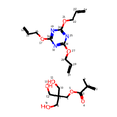 C=C(C)C(=O)OCC(CO)(CO)CO.C=CCOc1nc(OCC=C)nc(OCC=C)n1